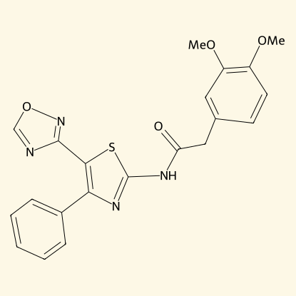 COc1ccc(CC(=O)Nc2nc(-c3ccccc3)c(-c3ncon3)s2)cc1OC